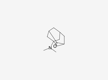 CN(C)C12CC3CC(C1)C(=O)C(C3)C2